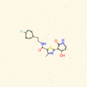 Cc1nc(-c2c(O)cc[nH]c2=O)sc1C(=O)NCCc1ccc(F)cc1